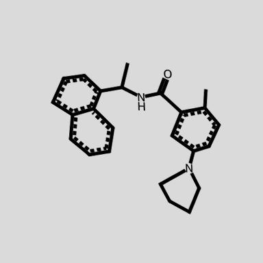 Cc1ccc(N2CCCC2)cc1C(=O)NC(C)c1cccc2ccccc12